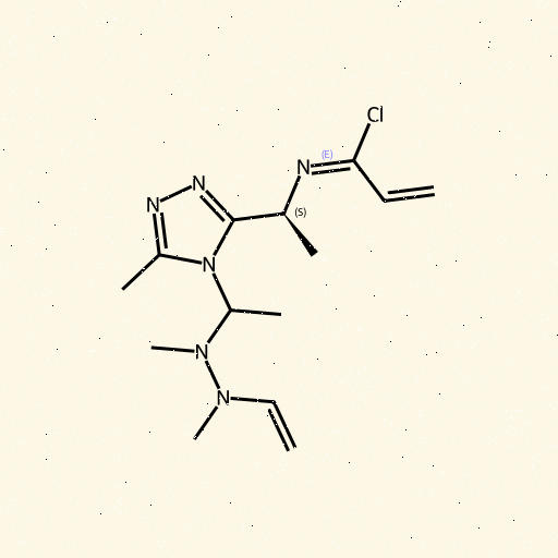 C=C/C(Cl)=N\[C@@H](C)c1nnc(C)n1C(C)N(C)N(C)C=C